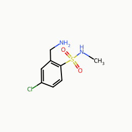 CNS(=O)(=O)c1ccc(Cl)cc1CN